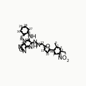 Cc1cc(C)c([N+](=O)[O-])cc1-c1ccc(C=NNc2nc3nonc3nc2Nc2ccccc2F)o1